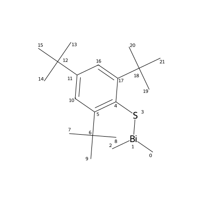 [CH3][Bi]([CH3])[S]c1c(C(C)(C)C)cc(C(C)(C)C)cc1C(C)(C)C